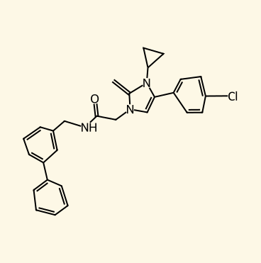 C=C1N(CC(=O)NCc2cccc(-c3ccccc3)c2)C=C(c2ccc(Cl)cc2)N1C1CC1